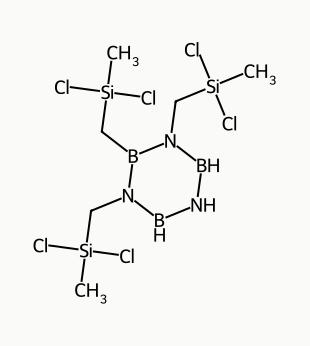 C[Si](Cl)(Cl)CB1N(C[Si](C)(Cl)Cl)BNBN1C[Si](C)(Cl)Cl